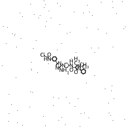 Cc1c(C(=O)NC2CCN(c3nc(-c4cccc(NC(=O)CCl)c4)cnc3N)CC2)c(=O)n(-c2ccccc2Cl)n1C